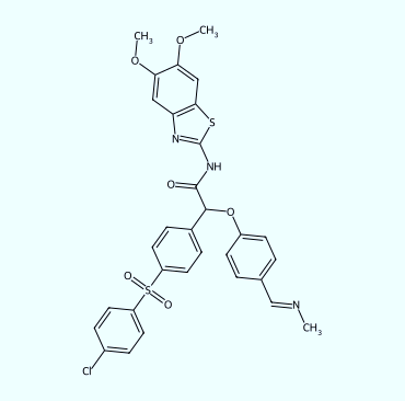 C/N=C/c1ccc(OC(C(=O)Nc2nc3cc(OC)c(OC)cc3s2)c2ccc(S(=O)(=O)c3ccc(Cl)cc3)cc2)cc1